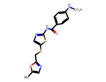 CC(C)(C)c1cnc(CSc2cnc(NC(=O)c3ccc(NC(=O)O)cc3)s2)o1